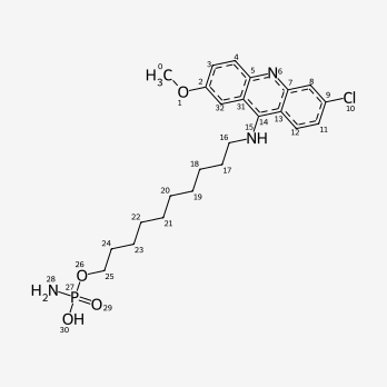 COc1ccc2nc3cc(Cl)ccc3c(NCCCCCCCCCCOP(N)(=O)O)c2c1